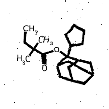 CCC(C)(C)C(=O)OC1(C2CCCC2)C2CC3CC(C2)CC1C3